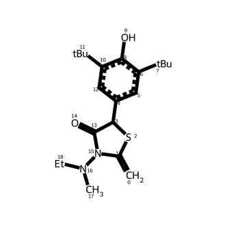 C=C1SC(c2cc(C(C)(C)C)c(O)c(C(C)(C)C)c2)C(=O)N1N(C)CC